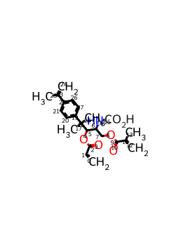 C=CC(=O)OC(C(COC(=O)C(=C)C)NC(=O)O)C(C)(C)c1ccc(C(=C)C)cc1